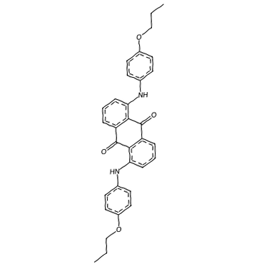 CCCOc1ccc(Nc2cccc3c2C(=O)c2cccc(Nc4ccc(OCCC)cc4)c2C3=O)cc1